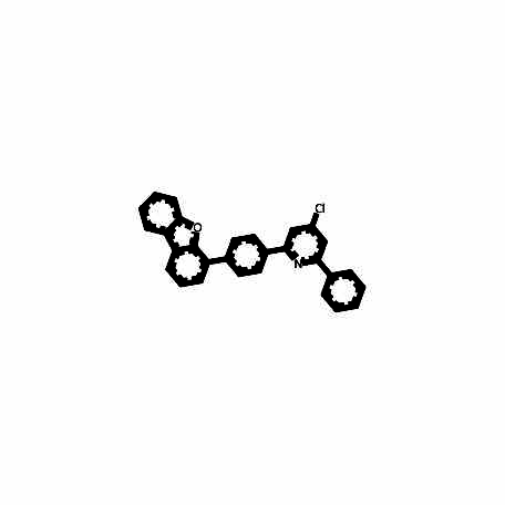 Clc1cc(-c2ccccc2)nc(-c2ccc(-c3cccc4c3oc3ccccc34)cc2)c1